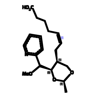 COC(c1ccccn1)[C@@H]1O[C@H](C)OC[C@@H]1C/C=C\CCCC(=O)O